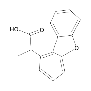 CC(C(=O)O)c1cccc2oc3ccccc3c12